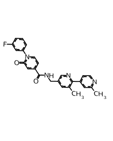 Cc1cc(-c2ncc(CNC(=O)c3ccn(-c4cccc(F)c4)c(=O)c3)cc2C)ccn1